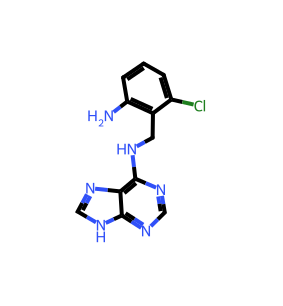 Nc1cccc(Cl)c1CNc1ncnc2[nH]cnc12